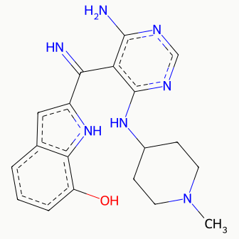 CN1CCC(Nc2ncnc(N)c2C(=N)c2cc3cccc(O)c3[nH]2)CC1